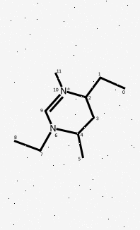 CCC1CC(C)N(CC)C=[N+]1C